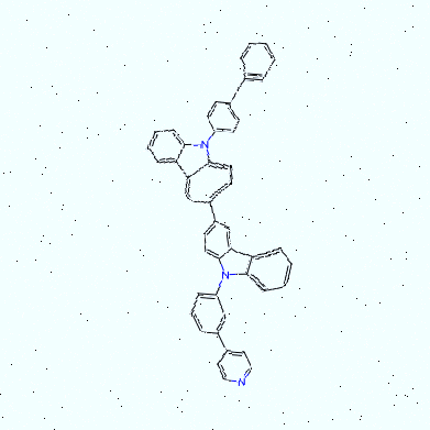 c1ccc(-c2ccc(-n3c4ccccc4c4cc(-c5ccc6c(c5)c5ccccc5n6-c5cccc(-c6ccncc6)c5)ccc43)cc2)cc1